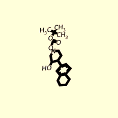 CC(C)(C)OC(=O)ON1CCC(c2ccc3c(c2)CCCC3)C(O)C1